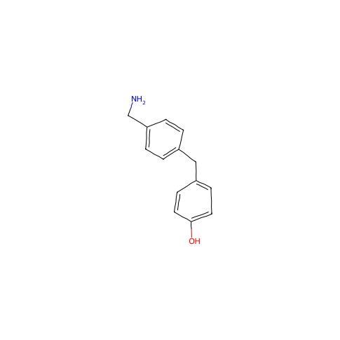 NCc1ccc(Cc2ccc(O)cc2)cc1